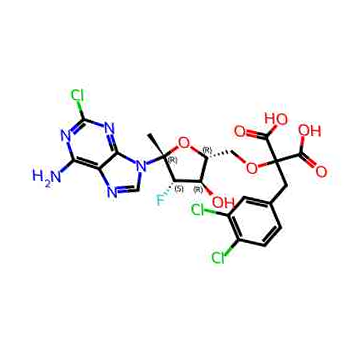 C[C@@]1(n2cnc3c(N)nc(Cl)nc32)O[C@H](COC(Cc2ccc(Cl)c(Cl)c2)(C(=O)O)C(=O)O)[C@@H](O)[C@@H]1F